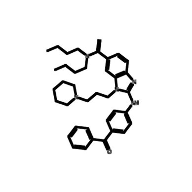 C=C(c1ccc2nc(Nc3ccc(C(=O)c4ccccc4)cc3)n(CCCN3CCCCC3)c2c1)N(CCCC)CCCC